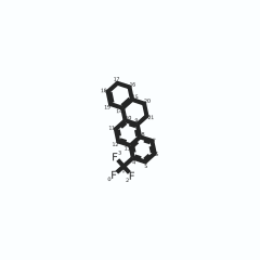 FC(F)(F)c1cccc2c3c(ccc12)C1=C(CCC=C1)CC3